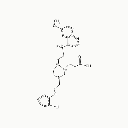 COc1ccc2nccc([C@H](F)CC[C@@H]3CCN(CCSc4ccccc4Cl)C[C@H]3CCC(=O)O)c2c1